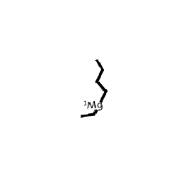 CCC[CH2][1Mg][CH2]C